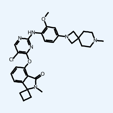 COc1cc(N2CC3(CCN(C)CC3)C2)ccc1Nc1ncc(Cl)c(Oc2cccc3c2C(=O)N(C)C32CCC2)n1